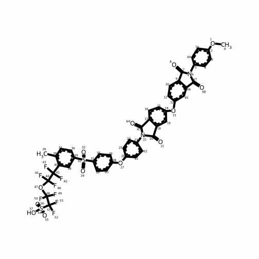 COc1ccc(N2C(=O)c3ccc(Oc4ccc5c(c4)C(=O)N(c4ccc(Oc6ccc(S(=O)(=O)c7ccc(C)c(C(F)(F)C(F)(F)OC(F)(F)C(F)(F)S(=O)(=O)O)c7)cc6)cc4)C5=O)cc3C2=O)cc1